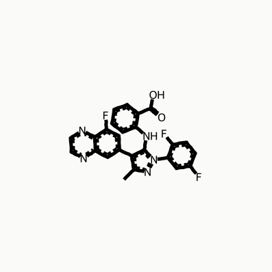 Cc1nn(-c2cc(F)ccc2F)c(Nc2ccccc2C(=O)O)c1-c1cc(F)c2nccnc2c1